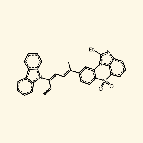 C=C/C(=C\C=C(/C)c1ccc2c(c1)-n1c(CC)nc3cccc(c31)S2(=O)=O)n1c2ccccc2c2ccccc21